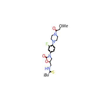 CC[C@H](C)C(=S)NCC1CN(c2ccc(N3CCN(C(=O)COC)CC3)c(F)c2)C(=O)O1